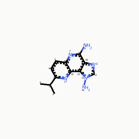 CC(C)c1ccc2nc(N)c3ncn(N)c3c2n1